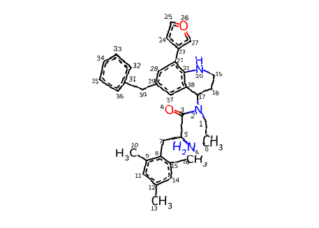 CCN(C(=O)C(N)Cc1c(C)cc(C)cc1C)C1CCNc2c(-c3ccoc3)cc(Cc3ccccc3)cc21